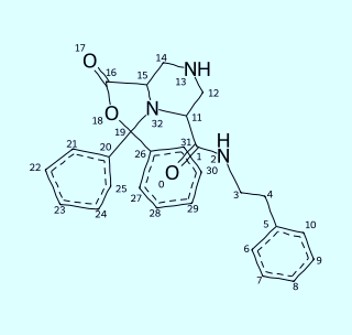 O=C(NCCc1ccccc1)C1CNCC2C(=O)OC(c3ccccc3)(c3ccccc3)N12